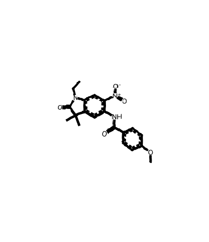 CCN1C(=O)C(C)(C)c2cc(NC(=O)c3ccc(OC)cc3)c([N+](=O)[O-])cc21